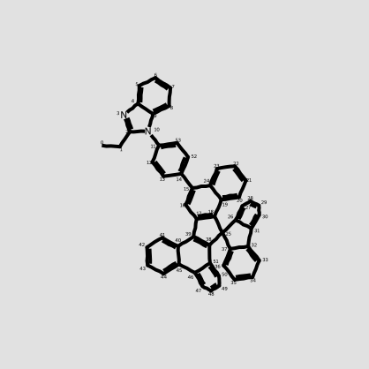 CCc1nc2ccccc2n1-c1ccc(-c2cc3c(c4ccccc24)C2(c4ccccc4-c4ccccc42)c2c-3c3ccccc3c3ccccc23)cc1